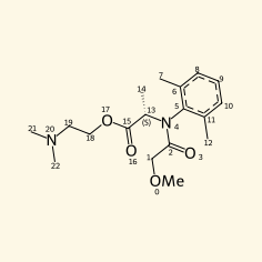 COCC(=O)N(c1c(C)cccc1C)[C@@H](C)C(=O)OCCN(C)C